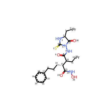 CC(C)CC1NC(=S)N(NC(=O)C(CC(C)C)[C@@H](CCCc2ccccc2)C(=O)NO)C1=O